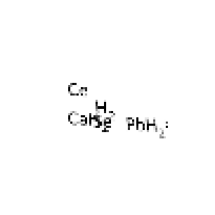 [CaH2].[Ce].[PbH2].[SeH2]